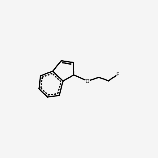 FCCOC1C=Cc2[c]cccc21